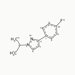 CC(C)n1ccc(-c2ccc(F)cc2)n1